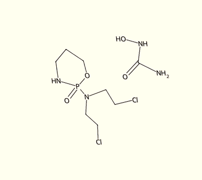 NC(=O)NO.O=P1(N(CCCl)CCCl)NCCCO1